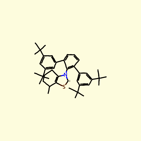 CC1CCCC2=C1S[C]N2c1c(-c2cc(C(C)(C)C)cc(C(C)(C)C)c2)cccc1-c1cc(C(C)(C)C)cc(C(C)(C)C)c1